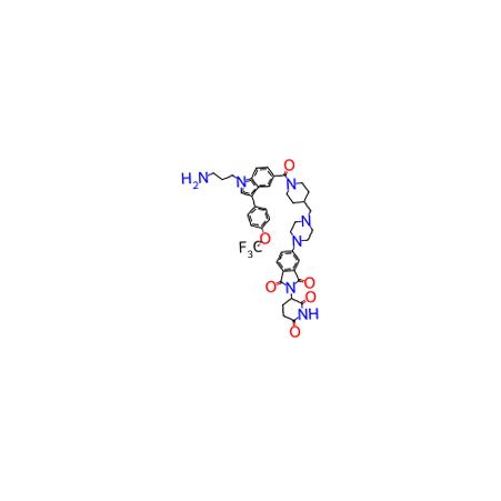 NCCCn1cc(-c2ccc(OC(F)(F)F)cc2)c2cc(C(=O)N3CCC(CN4CCN(c5ccc6c(c5)C(=O)N(C5CCC(=O)NC5=O)C6=O)CC4)CC3)ccc21